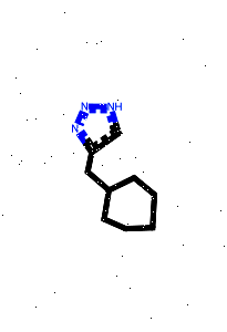 [c]1[nH]nnc1CC1CCCCC1